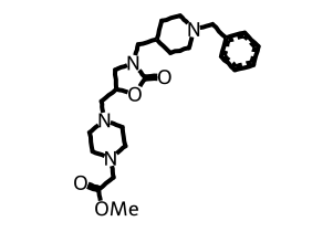 COC(=O)CN1CCN(CC2CN(CC3CCN(Cc4ccccc4)CC3)C(=O)O2)CC1